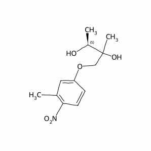 Cc1cc(OCC(C)(O)[C@H](C)O)ccc1[N+](=O)[O-]